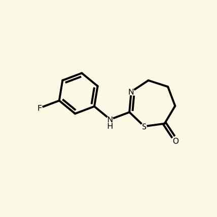 O=C1CCCN=C(Nc2cccc(F)c2)S1